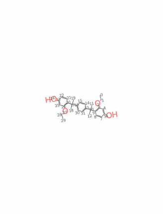 CCOc1cc(O)ccc1C(C)(C)c1ccc(C(C)(C)c2ccc(O)cc2OCC)cc1